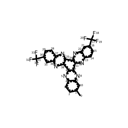 Cc1ccc2nc3c(nc2c1)c1nc2ccc(C(F)(F)F)cc2nc1c1nc2ccc(C(F)(F)F)cc2nc31